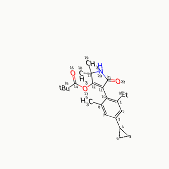 CCc1cc(C2CC2)cc(C)c1C1=C(OC(=O)C(C)(C)C)C(C)(C)NC1=O